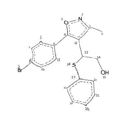 Cc1noc(-c2ccc(Br)cc2)c1C(CO)Sc1ccccc1